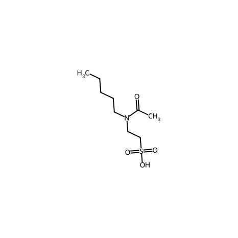 CCCCCN(CCS(=O)(=O)O)C(C)=O